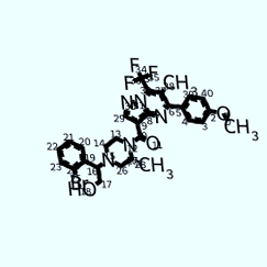 COc1ccc(-c2nc3c(C(=O)N4CCN(C(CO)c5ccccc5Br)C[C@H]4C)cnn3c(C(F)(F)F)c2C)cc1